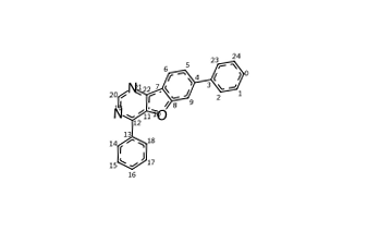 c1ccc(-c2ccc3c(c2)oc2c(-c4ccccc4)ncnc23)cc1